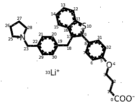 O=C([O-])CCCOc1ccc(-c2sc3ccccc3c2Cc2ccc(CN3CCCC3)cc2)cc1.[Li+]